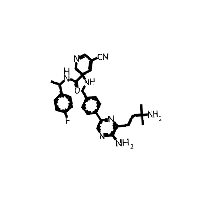 CC(NC(=O)C1(NCc2ccc(-c3cnc(N)c(CCC(C)(C)N)n3)cc2)C=C(C#N)C=NC1)c1ccc(F)cc1